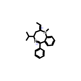 C/C=C1\CC(C(C)C)/N=C(/c2ccccc2)c2ccccc2N1C